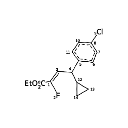 CCOC(=O)C(F)=CC(c1ccc(Cl)cc1)C1CC1